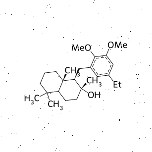 CCc1cc(C[C@@H]2[C@@]3(C)CCCC(C)(C)C3CC[C@@]2(C)O)c(OC)c(OC)c1